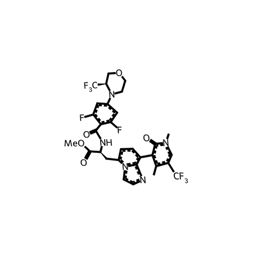 COC(=O)[C@H](Cc1ccc(-c2c(C)c(C(F)(F)F)cn(C)c2=O)c2nccn12)NC(=O)c1c(F)cc(N2CCOC[C@@H]2C(F)(F)F)cc1F